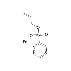 C=CCOS(=O)(=O)c1ccccc1.[Fe]